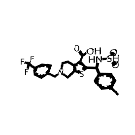 Cc1ccc(C(N[SH](=O)=O)c2sc3c(c2C(=O)O)CCN(Cc2ccc(C(F)(F)F)cc2)C3)cc1